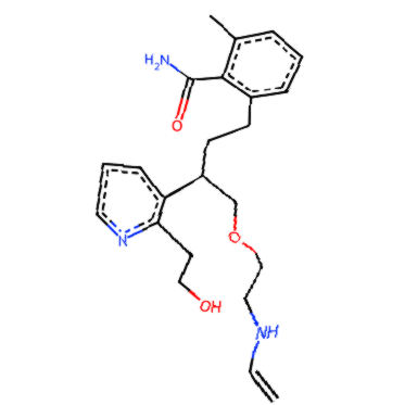 C=CNCCOCC(CCc1cccc(C)c1C(N)=O)c1cccnc1CCO